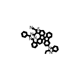 CCc1nc2ccccc2n1-c1ccc2c(c1)-c1ccccc1C21c2ccccc2-c2c1ccc1sc(C#N)c(-c3nc(-c4ccccc4)nc(-c4ccccc4)n3)c21